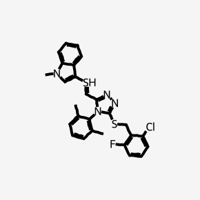 Cc1cccc(C)c1-n1c(C=[SH]c2cn(C)c3ccccc23)nnc1SCc1c(F)cccc1Cl